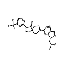 O=C1N(c2cncc(C(F)(F)F)n2)CCC12CCN(c1cnc3cnn(CC(F)F)c3n1)CC2